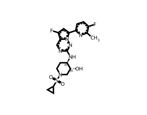 Cc1nc(-c2cc(F)c3cnc(N[C@@H]4CCN(S(=O)(=O)C5CC5)C[C@H]4O)nn23)ccc1F